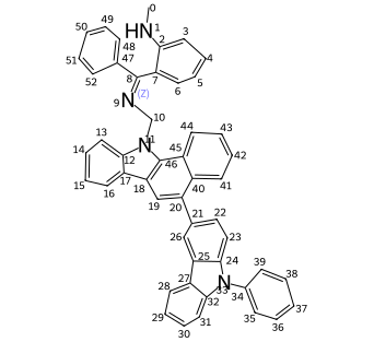 CNc1ccccc1/C(=N\Cn1c2ccccc2c2cc(-c3ccc4c(c3)c3ccccc3n4-c3ccccc3)c3ccccc3c21)c1ccccc1